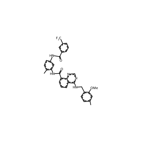 COc1cc(C)ccc1CNc1ncnc2c(C(=O)Nc3cc(NC(=O)c4cccc(C(F)(F)F)c4)ccc3C)cccc12